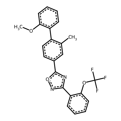 COc1ccccc1-c1ccc(-c2nc(-c3ccccc3OC(F)(F)F)no2)cc1C